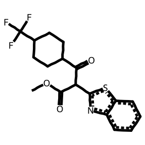 COC(=O)C(C(=O)C1CCC(C(F)(F)F)CC1)c1nc2ccccc2s1